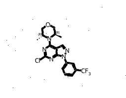 C[C@@H]1COC[C@@H](C)N1c1nc(Cl)nc2c1cnn2-c1cccc(C(F)(F)F)c1